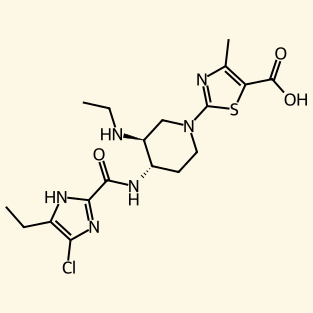 CCN[C@H]1CN(c2nc(C)c(C(=O)O)s2)CC[C@@H]1NC(=O)c1nc(Cl)c(CC)[nH]1